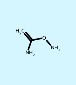 C=C(N)ON